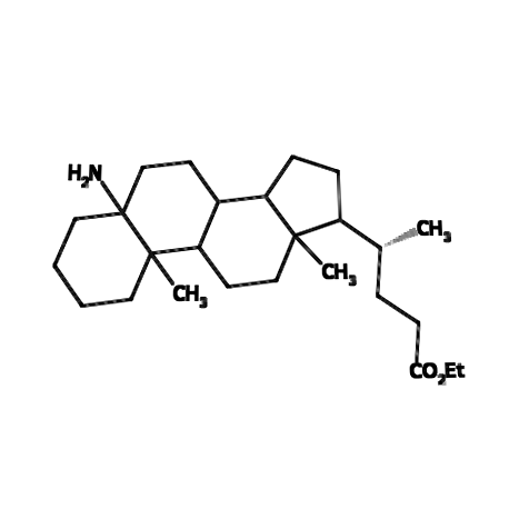 CCOC(=O)CC[C@@H](C)C1CCC2C3CCC4(N)CCCCC4(C)C3CCC21C